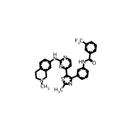 Cc1nc(-c2cccc(NC(=O)c3cccc(C(F)(F)F)c3)c2)c(-c2ccnc(Nc3ccc4c(c3)CN(C)CC4)n2)s1